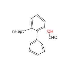 CCCCCCCc1ccccc1-c1ccccc1.O=CO